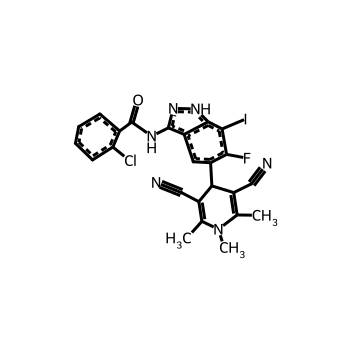 CC1=C(C#N)C(c2cc3c(NC(=O)c4ccccc4Cl)n[nH]c3c(I)c2F)C(C#N)=C(C)N1C